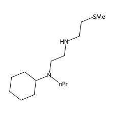 CCCN(CCNCCSC)C1CCCCC1